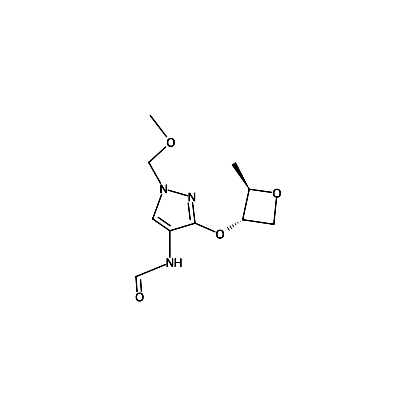 COCn1cc(NC=O)c(O[C@H]2CO[C@@H]2C)n1